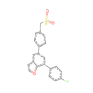 O=[SH](=O)Cc1ccc(-c2cc(-c3ccc(F)cc3)c3occc3c2)cc1